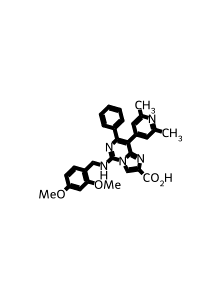 COc1ccc(CNc2nc(-c3ccccc3)c(-c3cc(C)nc(C)c3)c3nc(C(=O)O)cn23)c(OC)c1